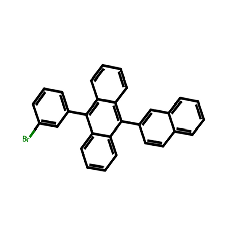 Brc1cccc(-c2c3ccccc3c(-c3ccc4ccccc4c3)c3ccccc23)c1